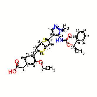 CCOc1cc(CC(=O)O)ccc1-c1cc2sc(-c3cnn(C)c3NC(=O)O[C@H](C)c3ccccc3)cc2s1